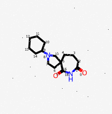 O=C1CCCC2(CCN(C3CCCCC3)C2)C(=O)N1